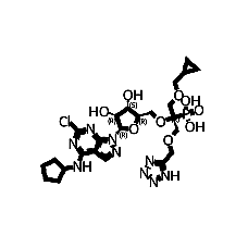 O=P(O)(O)[C@@](COCc1nnn[nH]1)(COCC1CC1)OC[C@H]1O[C@@H](n2ncc3c(NC4CCCC4)nc(Cl)nc32)[C@H](O)[C@@H]1O